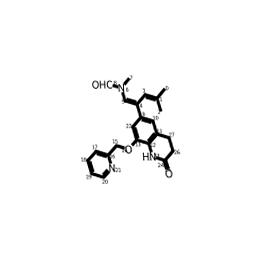 CC(C)=C/C(=C\N(C)C=O)c1cc2c(c(OCc3ccccn3)c1)NC(=O)CC2